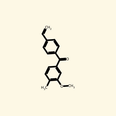 C=Cc1ccc(C(=O)c2ccc(C)c(OC)c2)cc1